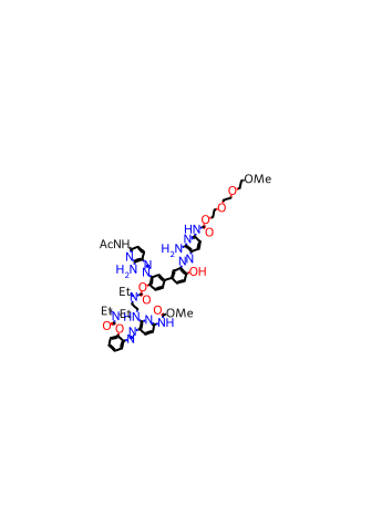 CCN(CCNc1nc(NC(=O)OC)ccc1/N=N/c1ccccc1OC(=O)N(CC)CC)C(=O)Oc1ccc(-c2ccc(O)c(/N=N/c3ccc(NC(=O)OCCOCCOCCOC)nc3N)c2)cc1/N=N/c1ccc(NC(C)=O)nc1N